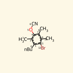 CCCCc1c(C)c(OC#N)c(C)c(C)c1Br